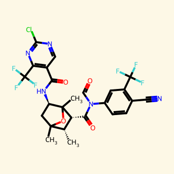 C[C@H]1[C@@H](C(=O)N(C=O)c2ccc(C#N)c(C(F)(F)F)c2)C2(C)OC1(C)C[C@H]2NC(=O)c1cnc(Cl)nc1C(F)(F)F